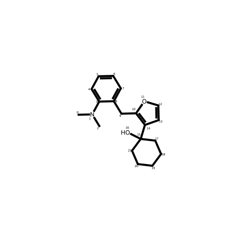 CN(C)c1ccccc1Cc1occc1C1(O)CCCCC1